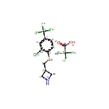 FC(F)(F)c1ccc(SCC2CNC2)c(Cl)c1.O=C(O)C(F)(F)F